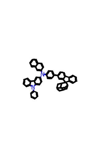 c1ccc(-n2c3ccccc3c3cc(N(c4ccc(-c5ccc6c(c5)C5(c7ccccc7-6)C6CC7CC(C6)CC5C7)cc4)c4ccc5ccccc5c4)ccc32)cc1